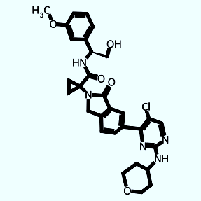 COc1cccc([C@@H](CO)NC(=O)C2(N3Cc4ccc(-c5nc(NC6CCOCC6)ncc5Cl)cc4C3=O)CC2)c1